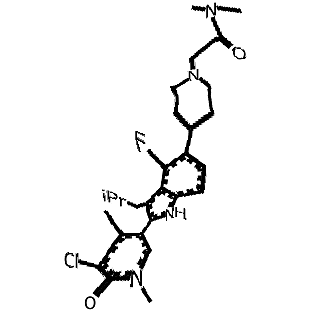 Cc1c(-c2[nH]c3ccc(C4CCN(CC(=O)N(C)C)CC4)c(F)c3c2C(C)C)cn(C)c(=O)c1Cl